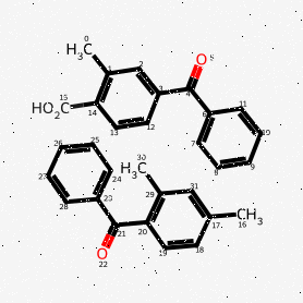 Cc1cc(C(=O)c2ccccc2)ccc1C(=O)O.Cc1ccc(C(=O)c2ccccc2)c(C)c1